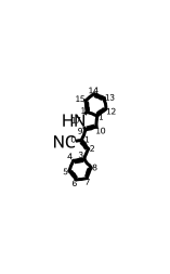 N#CC(=Cc1ccccc1)c1cc2ccccc2[nH]1